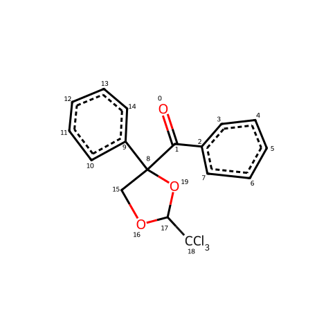 O=C(c1ccccc1)C1(c2ccccc2)COC(C(Cl)(Cl)Cl)O1